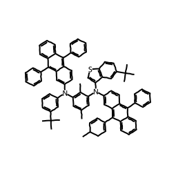 Cc1cc(N(c2cccc(C(C)(C)C)c2)c2ccc3c(-c4ccccc4)c4ccccc4c(-c4ccccc4)c3c2)c(C)c(N(c2ccc3c(-c4ccccc4)c4ccccc4c(C4=CCC(C)C=C4)c3c2)c2csc3ccc(C(C)(C)C)cc23)c1